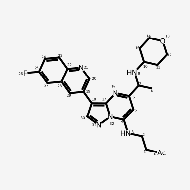 CC(=O)CCNc1cc(C(C)NC2CCOCC2)nc2c(-c3cnc4ccc(F)cc4c3)cnn12